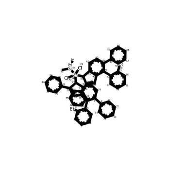 CCc1ccccc1-c1c(-c2ccccc2)ccc2c1C=C(c1ccccc1)[CH]2[Zr]([Cl])([Cl])([CH]1C(c2ccccc2)=Cc2c1ccc(-c1ccccc1)c2-c1ccccc1CC)[SiH](C)C